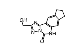 O=c1[nH]c2cc3c(cc2c2nc(CO)nn12)CCC3